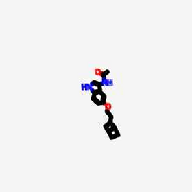 CC(=O)Nc1c[nH]c2ccc(OCCC3CC4CCC34)cc12